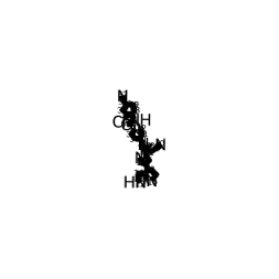 N#CCC1(n2cc(-c3ccnc4[nH]ccc34)cn2)CN(C2CCN(C(=O)Nc3ccc(C#N)cc3Cl)CC2)C1